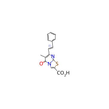 Cc1c(/C=C/c2ccccc2)nc2sc(C(=O)O)cn2c1=O